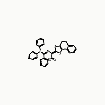 O=C(O)C(/N=C(/B(c1ccccc1)c1ccccc1)c1ccccc1)=C1/SC2=C(S1)c1ccccc1CC2